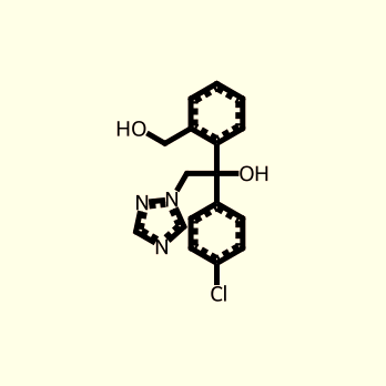 OCc1ccccc1C(O)(Cn1cncn1)c1ccc(Cl)cc1